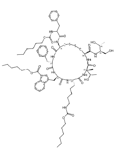 CCCCCCOC(=O)NCCCCC[C@@H]1NC(=O)[C@@H](Cc2cn(C(=O)OCCCCCC)c3ccccc23)NC(=O)[C@H](Cc2ccccc2)NC(=O)[C@@H](NC(=O)C(Cc2ccccc2)NC(=O)OCCCCCC)CSSC[C@@H](C(=O)N[C@H](CO)[C@@H](C)O)NC(=O)[C@](C)(C(C)O)NC1=O